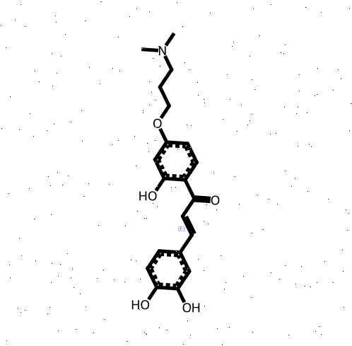 CN(C)CCCOc1ccc(C(=O)/C=C/c2ccc(O)c(O)c2)c(O)c1